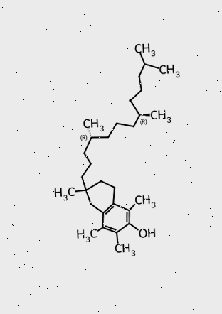 Cc1c(C)c2c(c(C)c1O)CCC(C)(CCC[C@H](C)CCC[C@H](C)CCCC(C)C)C2